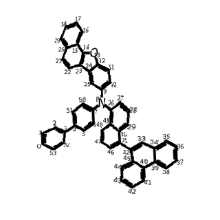 c1ccc(-c2ccc(N(c3ccc4oc5c6ccccc6ccc5c4c3)c3cccc4c(-c5cc6ccccc6c6ccccc56)cccc34)cc2)cc1